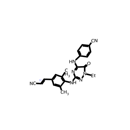 CCn1nc(Nc2c(C)cc(/C=C/C#N)cc2C)nc(Nc2ccc(C#N)cc2)c1=O